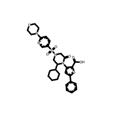 O=C(O)c1sc(-c2ccccc2)cc1N1C(=O)CN(S(=O)(=O)c2ccc(N3CCOCC3)nc2)CC1C1CCCCC1